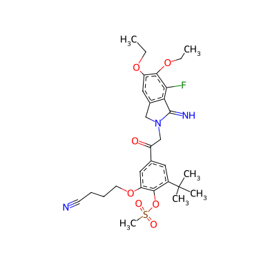 CCOc1cc2c(c(F)c1OCC)C(=N)N(CC(=O)c1cc(OCCCC#N)c(OS(C)(=O)=O)c(C(C)(C)C)c1)C2